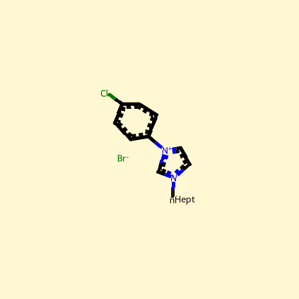 CCCCCCCn1cc[n+](-c2ccc(Cl)cc2)c1.[Br-]